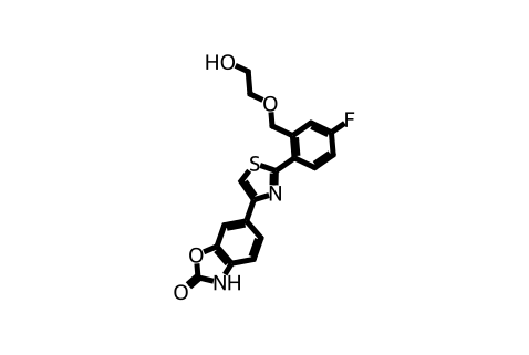 O=c1[nH]c2ccc(-c3csc(-c4ccc(F)cc4COCCO)n3)cc2o1